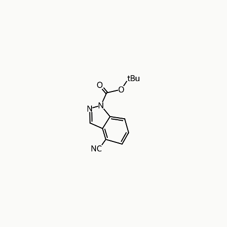 CC(C)(C)OC(=O)n1ncc2c(C#N)cccc21